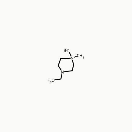 CC(C)[N+]1(C)CCN(CC(F)(F)F)CC1